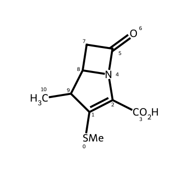 CSC1=C(C(=O)O)N2C(=O)CC2C1C